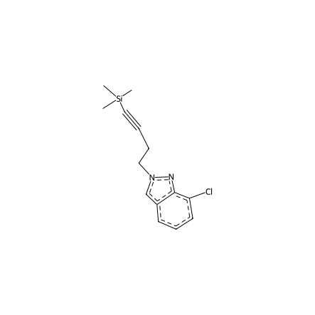 C[Si](C)(C)C#CCCn1cc2cccc(Cl)c2n1